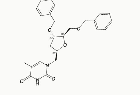 Cc1cn(C[C@H]2C[C@H](OCc3ccccc3)[C@@H](COCc3ccccc3)O2)c(=O)[nH]c1=O